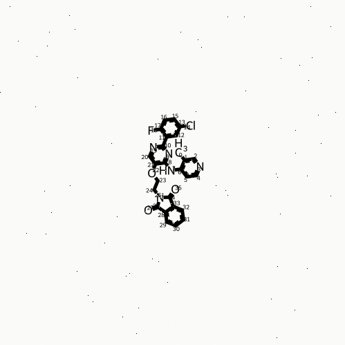 Cc1cnccc1Nc1nc(-c2cc(Cl)ccc2F)ncc1OCCN1C(=O)c2ccccc2C1=O